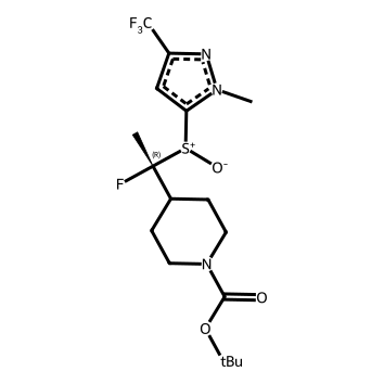 Cn1nc(C(F)(F)F)cc1[S+]([O-])[C@@](C)(F)C1CCN(C(=O)OC(C)(C)C)CC1